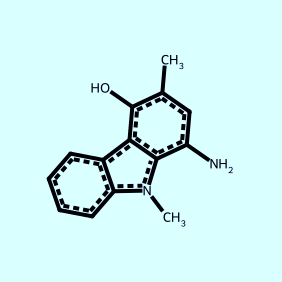 Cc1cc(N)c2c(c1O)c1ccccc1n2C